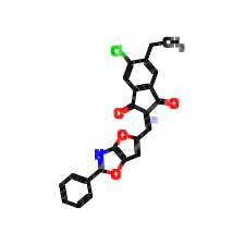 CCc1cc2c(cc1Cl)C(=O)/C(=C\c1cc3oc(-c4ccccc4)nc3o1)C2=O